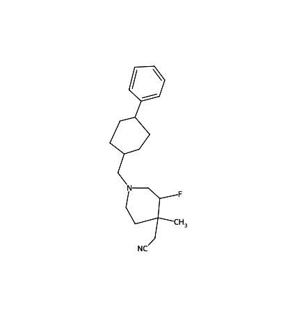 CC1(CC#N)CCN(CC2CCC(c3ccccc3)CC2)CC1F